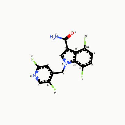 NC(=O)c1cn(Cc2cc(F)ncc2F)c2c(F)ccc(F)c12